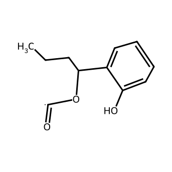 CCCC(O[C]=O)c1ccccc1O